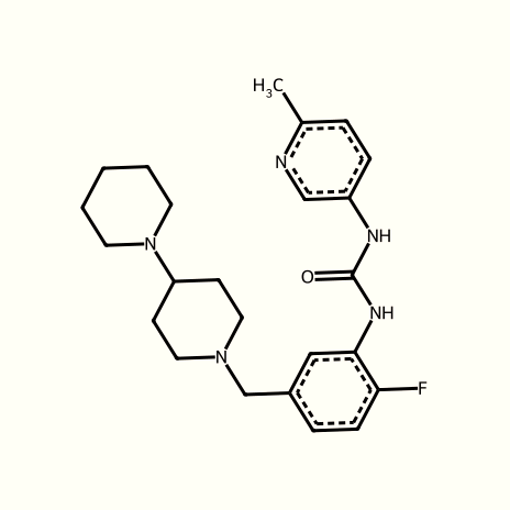 Cc1ccc(NC(=O)Nc2cc(CN3CCC(N4CCCCC4)CC3)ccc2F)cn1